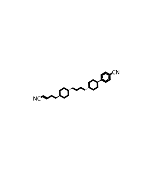 N#CC=CCC[C@H]1CC[C@H](CCCC[C@H]2CC[C@H](c3ccc(C#N)cc3)CC2)CC1